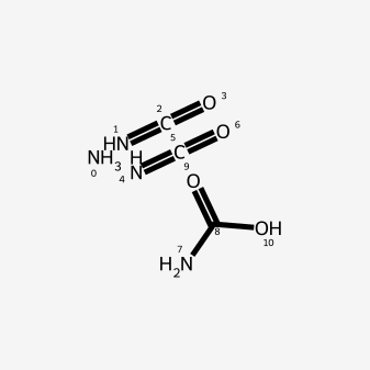 N.N=C=O.N=C=O.NC(=O)O